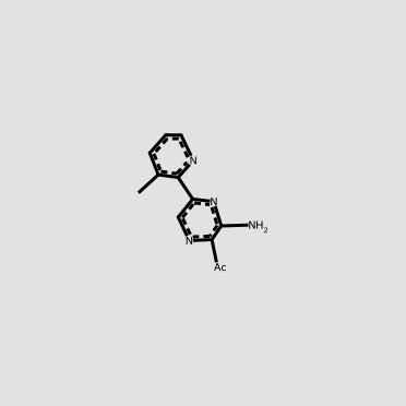 CC(=O)c1ncc(-c2ncccc2C)nc1N